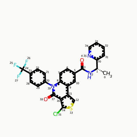 C[C@H](NC(=O)c1ccc2c(c1)c1csc(Cl)c1c(=O)n2-c1ccc(C(F)(F)F)cc1)c1ccccn1